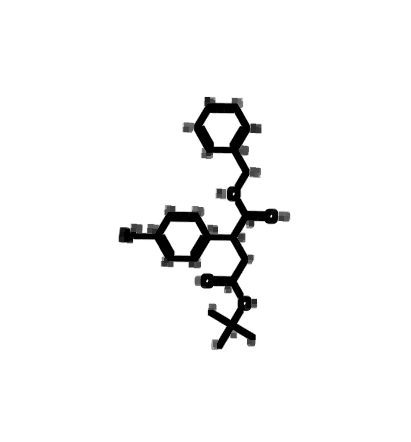 CC(C)(C)OC(=O)CC(C(=O)OCc1ccccc1)c1ccc(Br)cc1